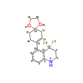 FC1(F)CCNc2cccc(C3=CCC4(CC3)OCCO4)c21